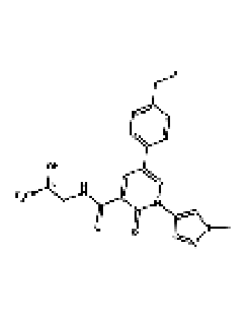 Cn1cc(-n2nc(-c3ccc(CF)cc3)cc(C(=O)NC[C@H](O)C(F)(F)F)c2=O)cn1